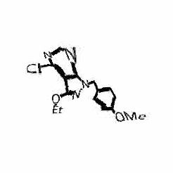 CCOc1nn(Cc2ccc(OC)cc2)c2ncnc(Cl)c12